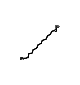 C[CH]OCCCCCCCCCCCCC(C)C